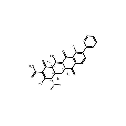 C=C1c2ccc(-c3ccccn3)c(O)c2C(=O)C2=C(O)[C@]3(O)C(=O)C(C(N)=O)=C(O)[C@@H](N(C)C)[C@@H]3C[C@H]12